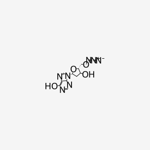 [N-]=[N+]=NOC[C@H]1O[C@@H](n2cnc3c(O)ncnc32)C[C@@H]1O